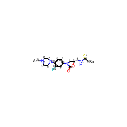 CCC(C)C(=S)NC[C@H]1CN(c2ccc(N3CCN(C(C)=O)CC3)c(F)c2)C(=O)O1